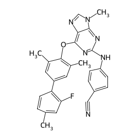 Cc1ccc(-c2cc(C)c(Oc3nc(Nc4ccc(C#N)cc4)nc4c3ncn4C)c(C)c2)c(F)c1